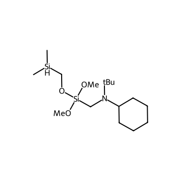 CO[Si](CN(C1CCCCC1)C(C)(C)C)(OC)OC[SiH](C)C